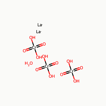 O.[La].[La].[O]=[Cr](=[O])([OH])[OH].[O]=[Cr](=[O])([OH])[OH].[O]=[Cr](=[O])([OH])[OH]